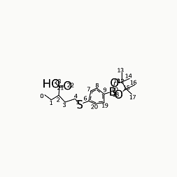 CCC(CCSc1ccc(B2OC(C)(C)C(C)(C)O2)cc1)C(=O)O